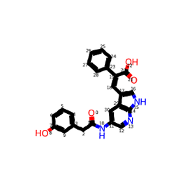 O=C(Cc1cccc(O)c1)Nc1cnc2[nH]cc(C=C(C(=O)O)c3ccccc3)c2c1